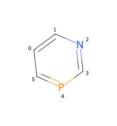 c1cncpc1